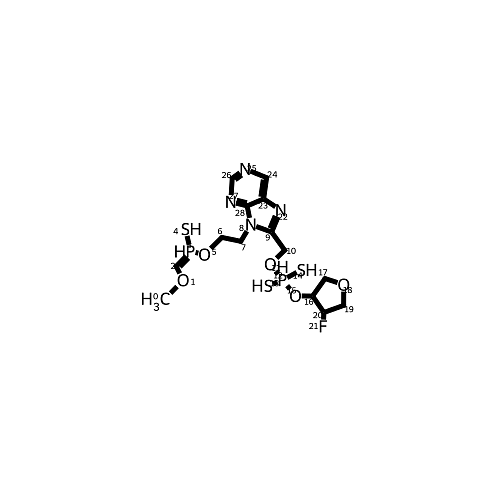 CO/C=[PH](/S)OCCn1c(CO[PH](S)(S)OC2COCC2F)nc2cncnc21